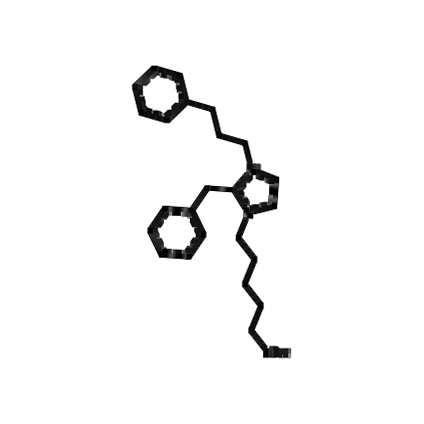 CCCCCCCCCCCCCCCn1cc[n+](CCCc2ccccc2)c1Cc1ccccc1